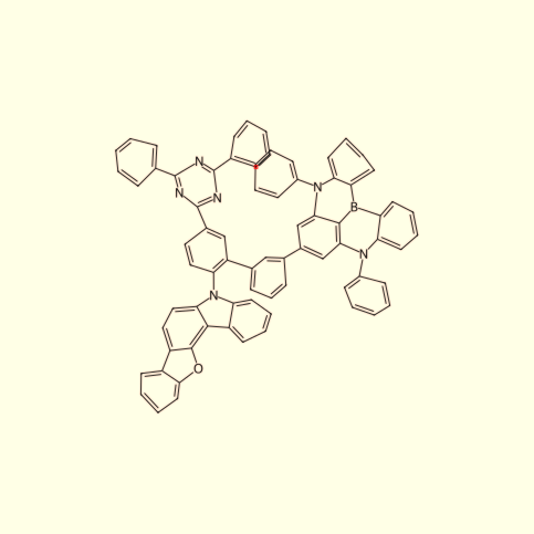 c1ccc(-c2nc(-c3ccccc3)nc(-c3ccc(-n4c5ccccc5c5c6oc7ccccc7c6ccc54)c(-c4cccc(-c5cc6c7c(c5)N(c5ccccc5)c5ccccc5B7c5ccccc5N6c5ccccc5)c4)c3)n2)cc1